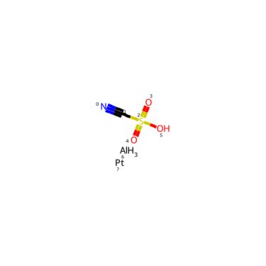 N#CS(=O)(=O)O.[AlH3].[Pt]